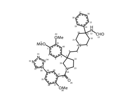 COc1ccc(C2(CCN3CCC(NC=O)(c4ccccc4)CC3)CCN(C(=O)c3cc(-n4cnnn4)ccc3OC)C2)cc1OC